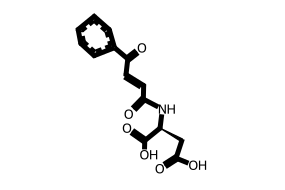 O=C(O)C[C@H](NC(=O)C=CC(=O)c1ccccc1)C(=O)O